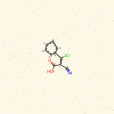 N#CC(C(=O)O)=C(Cl)c1ccccc1